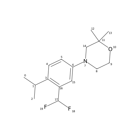 CC(C)c1ccc(N2CCOC(C)(C)C2)cc1C(F)F